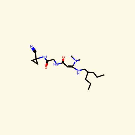 CCCC(CCC)CN/C(=C/C(=O)NCC(=O)NC1(C#N)CC1)N(C)C